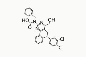 O=C(O)N(Cc1ccccc1)c1nc(CO)c2c(n1)-c1ccccc1[C@H](c1ccc(Cl)c(Cl)c1)C2